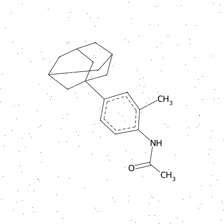 CC(=O)Nc1ccc(C23CC4CC(CC(C4)C2)C3)cc1C